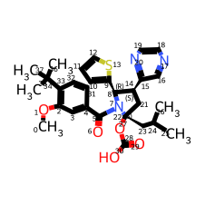 COc1cc(C(=O)N2[C@@H](c3cccs3)[C@@H](c3cnccn3)C[C@]2(CC(C)C)OC(=O)O)ccc1C(C)(C)C